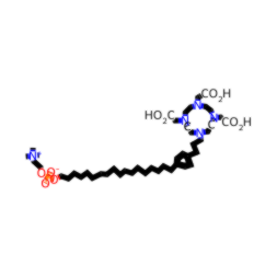 C[N+](C)(C)CCOP(=O)([O-])OCCCCCCCCCCCCCCCCCCc1ccc(CCCN2CCN(CC(=O)O)CCN(CC(=O)O)CCN(CC(=O)O)CC2)cc1